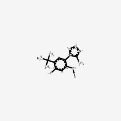 Cc1nnnn1-c1cc(C(C)(C)C)c(F)cc1OI